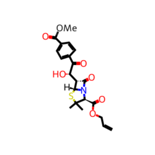 C=CCOC(=O)[C@@H]1N2C(=O)[C@@H]([C@H](O)C(=O)c3ccc(C(=O)OC)cc3)[C@H]2SC1(C)C